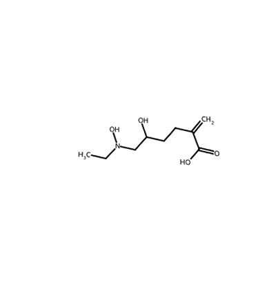 C=C(CCC(O)CN(O)CC)C(=O)O